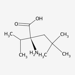 CC(C)[C@@](N)(CC(C)(C)C)C(=O)O